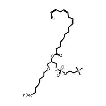 CC/C=C\C/C=C\C/C=C\CCCCCCCC(=O)O[C@H](COCCCCCCCCCCCCCCCC)COP(=O)([O-])OCC[N+](C)(C)C